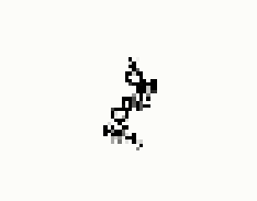 NS(=O)(=O)c1ccc2cc(-c3n[nH]c4cc(Cl)ccc34)[nH]c2c1